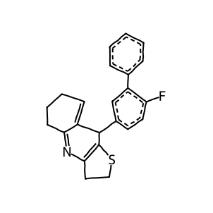 Fc1ccc(C2C3=CCCCC3=NC3=C2SCC3)cc1-c1ccccc1